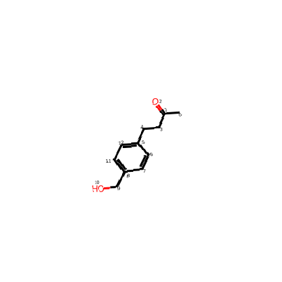 CC(=O)CCc1ccc(CO)cc1